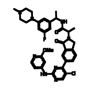 COc1cc(Nc2ncc(Cl)c(-c3ccc4c(c3)C(=O)N(C(C)C(=O)NC(C)c3cc(F)cc(N5CCN(C)CC5)c3)C4)n2)ccn1